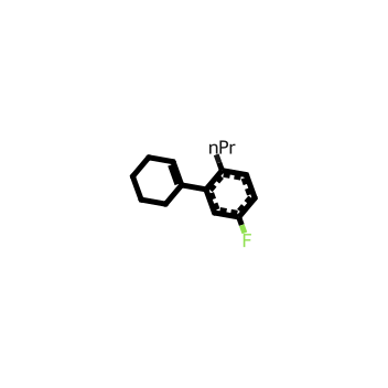 CCCc1ccc(F)cc1C1=CCCCC1